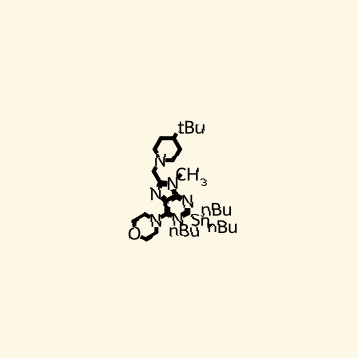 CCC[CH2][Sn]([CH2]CCC)([CH2]CCC)[c]1nc(N2CCOCC2)c2nc(CN3CCC(C(C)(C)C)CC3)n(C)c2n1